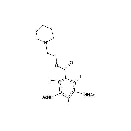 CC(=O)Nc1c(I)c(NC(C)=O)c(I)c(C(=O)OCCN2CCCCC2)c1I